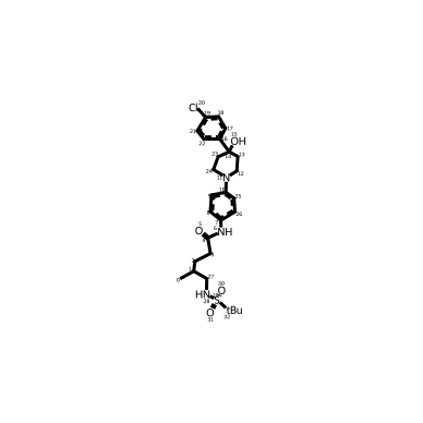 CC(CCC(=O)Nc1ccc(N2CCC(O)(c3ccc(Cl)cc3)CC2)cc1)CNS(=O)(=O)C(C)(C)C